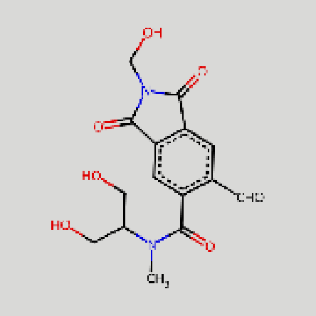 CN(C(=O)c1cc2c(cc1C=O)C(=O)N(CO)C2=O)C(CO)CO